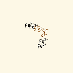 [Fe+2].[Fe+2].[Fe+2].[Fe+2].[S-2].[S-2].[S-2].[S-2]